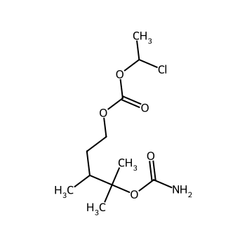 CC(Cl)OC(=O)OCCC(C)C(C)(C)OC(N)=O